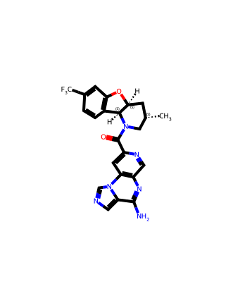 C[C@H]1C[C@@H]2Oc3cc(C(F)(F)F)ccc3[C@@H]2N(C(=O)c2cc3c(cn2)nc(N)c2cncn23)C1